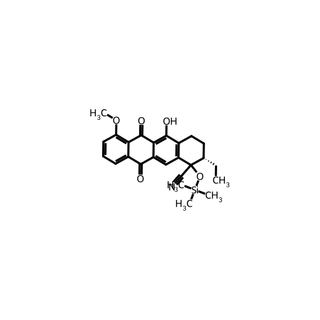 CC[C@H]1CCc2c(cc3c(c2O)C(=O)c2c(OC)cccc2C3=O)C1(C#N)O[Si](C)(C)C